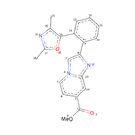 COC(=O)c1ccn2cc(-c3ccccc3-c3oc(C)nc3C)nc2c1